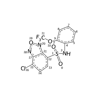 O=S(=O)(Nc1ccccc1OC(F)(F)F)c1ccc(Cl)c2nonc12